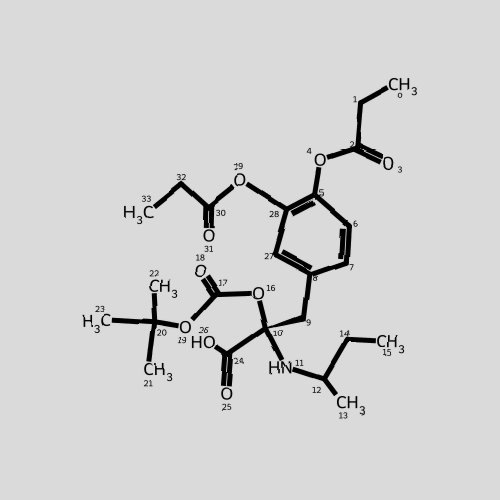 CCC(=O)Oc1ccc(C[C@](NC(C)CC)(OC(=O)OC(C)(C)C)C(=O)O)cc1OC(=O)CC